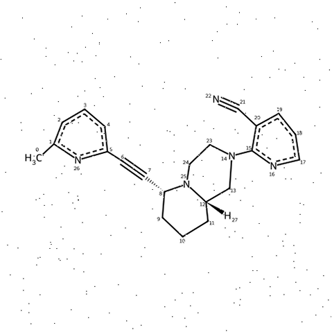 Cc1cccc(C#C[C@H]2CCC[C@H]3CN(c4ncccc4C#N)CCN32)n1